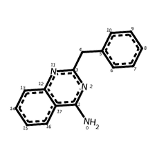 Nc1nc(Cc2ccccc2)nc2ccccc12